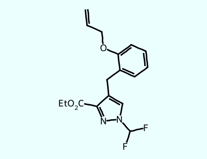 C=CCOc1ccccc1Cc1cn(C(F)F)nc1C(=O)OCC